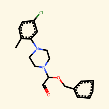 Cc1ccc(Cl)cc1N1CCN(C(C=O)OCc2ccccc2)CC1